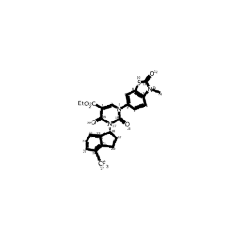 CCOC(=O)c1cn(-c2ccc3c(c2)sc(=O)n3C)c(=O)n([C@@H]2CCc3c2cccc3C(F)(F)F)c1=O